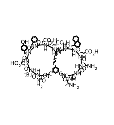 C[C@H]1NC(=O)[C@H](Cc2cccc3ccccc23)NC(=O)[C@H](CCC(=O)O)NC(=O)[C@H](CC(N)=O)NC(=O)[C@@H](C)NC(=O)[C@@H](NC(=O)[C@H](C)N)CN(C)Cc2cc3cc(c2)CN(C)C[C@@H](C(N)=O)NC(=O)[C@H](C(C)(C)C)NC(=O)[C@H](CC(=O)O)NC(=O)[C@H](Cc2ccc(O)cc2)NC(=O)[C@H](Cc2ccccc2)NC(=O)[C@H](CC(=O)O)NC(=O)[C@H](CCC(=O)O)NC(=O)[C@@H](CSC3)N1